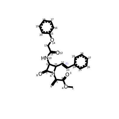 C=C(C(=O)OC)N1C(=O)C(NC(=O)COc2ccccc2)C1/C=C/c1ccccc1